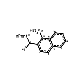 CCCCCC(CC)c1ccc2ccccc2c1S(=O)(=O)O